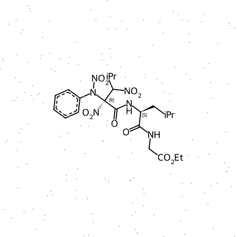 CCOC(=O)CNC(=O)[C@H](CC(C)C)NC(=O)[C@](C(C(C)C)[N+](=O)[O-])(N(c1ccccc1)[N+](=O)[O-])[N+](=O)[O-]